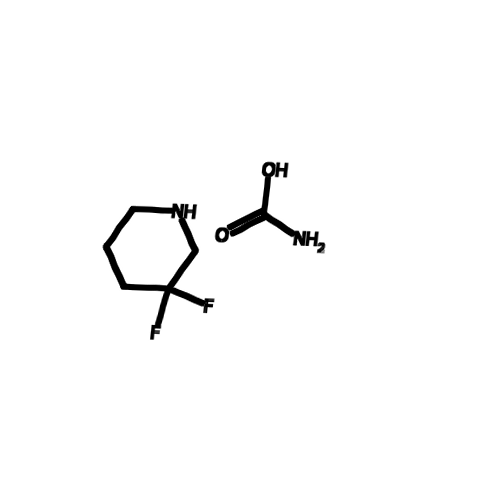 FC1(F)CCCNC1.NC(=O)O